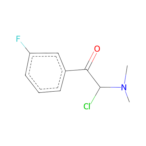 CN(C)C(Cl)C(=O)c1cccc(F)c1